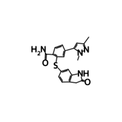 Cc1cc(-c2ccc(C(N)=O)c(Sc3ccc4c(c3)NC(=O)C4)c2)n(C)n1